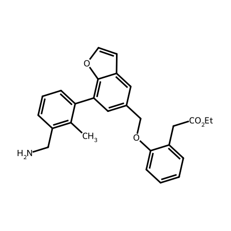 CCOC(=O)Cc1ccccc1OCc1cc(-c2cccc(CN)c2C)c2occc2c1